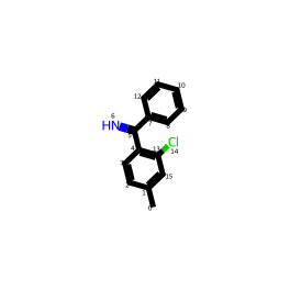 Cc1ccc(C(=N)c2ccccc2)c(Cl)c1